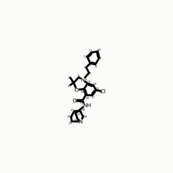 CC1(C)CN(CCc2ccccc2)c2cc(Cl)cc(C(=O)NC3CN4CCC3CC4)c2O1